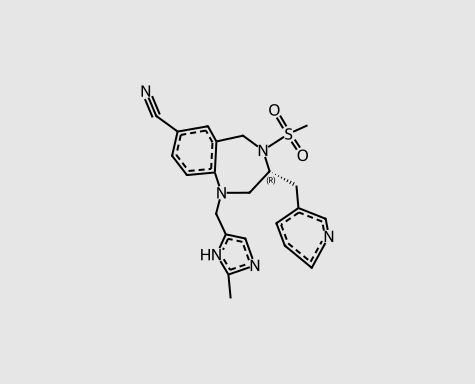 Cc1ncc(CN2C[C@@H](Cc3cccnc3)N(S(C)(=O)=O)Cc3cc(C#N)ccc32)[nH]1